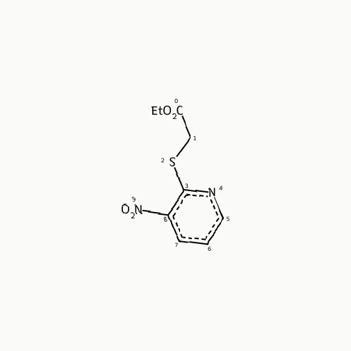 CCOC(=O)CSc1ncccc1[N+](=O)[O-]